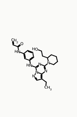 C=CC(=O)Nc1cccc(Nc2nc(N3CCCCC3CCO)nc3c(CC)cnn23)c1